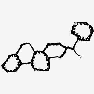 [CH2]CC(c1cccnc1)C1CCc2c(ccc3c2CCc2ccccc2-3)C1